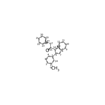 Cc1cccc(-c2cc3ccccn3c2C(=O)C[n+]2ccccc2)c1